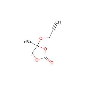 C#CCOC1(CCCC)COC(=O)O1